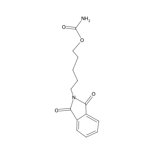 NC(=O)OCCCCCN1C(=O)c2ccccc2C1=O